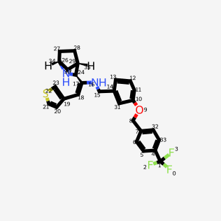 FC(F)(F)c1ccc(COc2cccc(CN/C(=C/c3ccsc3)[C@H]3N[C@@H]4CC[C@H]3C4)c2)cc1